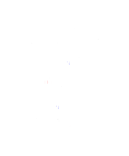 CC1CCC(=O)N1CC(O)Cn1c2ccccc2c2ccccc21